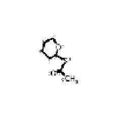 CC(=O)SC1CCCCO1